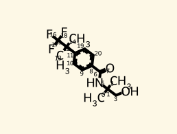 CC(C)(CO)NC(=O)c1ccc(C(C)(C)C(F)(F)F)cc1